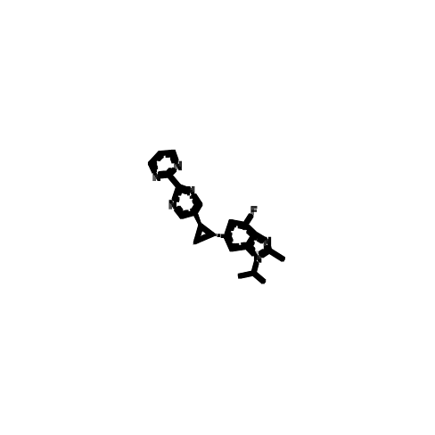 Cc1nc2c(F)cc([C@@H]3C[C@H]3c3cnc(-c4ncccn4)nc3)cc2n1C(C)C